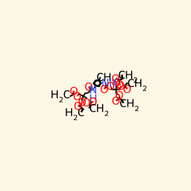 C=CC(=O)OCC(CCC(=O)Nc1ccc(C)c(NC(=O)OCC(COC(=O)C=C)(COC(=O)C=C)COC(=O)C=C)c1)(COC(=O)C=C)COC(=O)C=C